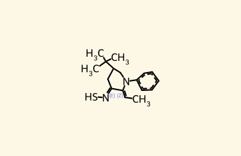 C/C=C1/C(=N/S)CC(C(C)(C)C)CN1c1ccccc1